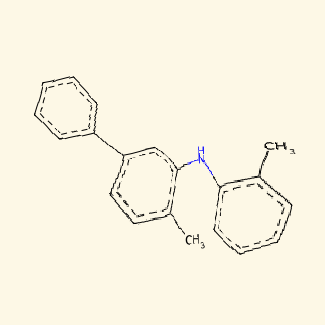 Cc1ccccc1Nc1cc(-c2ccccc2)ccc1C